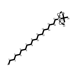 CCCCCCCCCCCCCCCCCC[Si](OC)(OC)C(C)(C)C